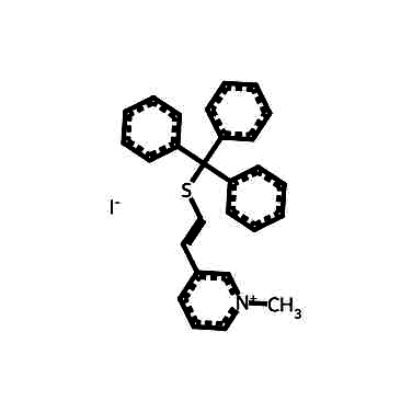 C[n+]1cccc(C=CSC(c2ccccc2)(c2ccccc2)c2ccccc2)c1.[I-]